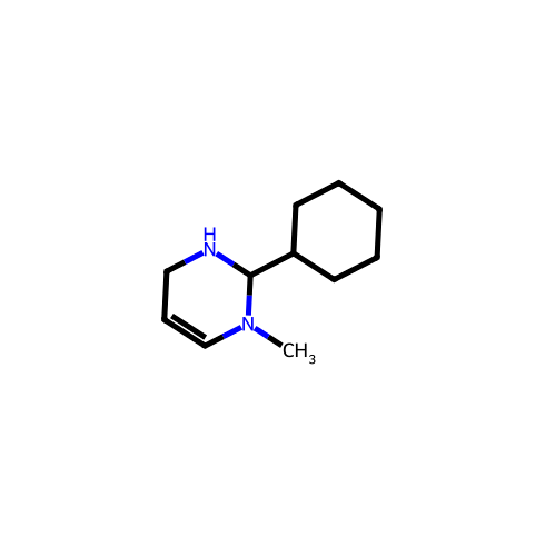 CN1C=CCNC1C1CCCCC1